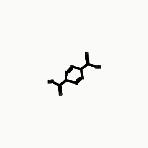 O=C(O)C1N=NC(C(=O)O)N=N1